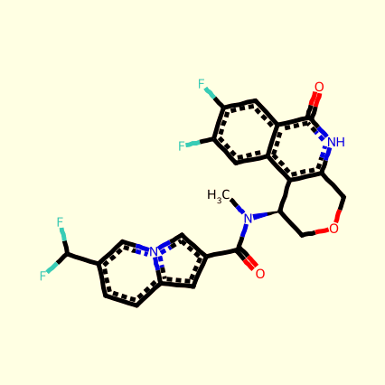 CN(C(=O)c1cc2ccc(C(F)F)cn2c1)[C@@H]1COCc2[nH]c(=O)c3cc(F)c(F)cc3c21